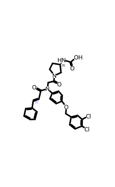 O=C(O)N[C@H]1CCN(C(=O)CN(C(=O)/C=C/c2ccccc2)c2ccc(OCc3ccc(Cl)c(Cl)c3)cc2)C1